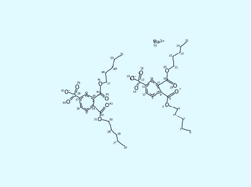 CCCCCOC(=O)c1ccc(S(=O)(=O)[O-])cc1C(=O)OCCCCC.CCCCCOC(=O)c1ccc(S(=O)(=O)[O-])cc1C(=O)OCCCCC.[Ba+2]